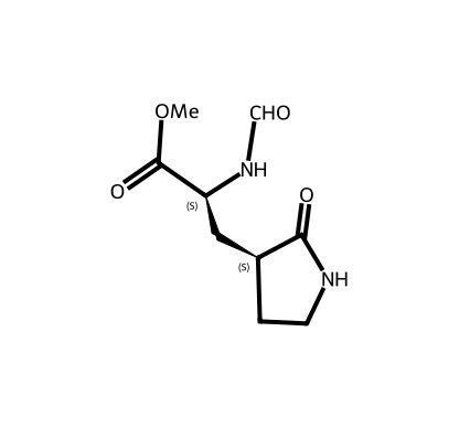 COC(=O)[C@H](C[C@@H]1CCNC1=O)NC=O